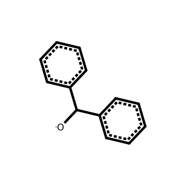 [O]C(c1ccccc1)c1ccccc1